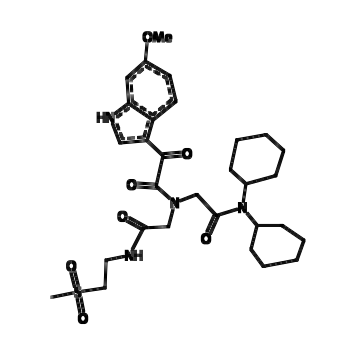 COc1ccc2c(C(=O)C(=O)N(CC(=O)NCCS(C)(=O)=O)CC(=O)N(C3CCCCC3)C3CCCCC3)c[nH]c2c1